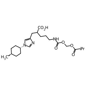 CC(C)C(=O)OCOC(=O)NCCCC(Cc1cn([C@H]2CC[C@H](C)CC2)cn1)C(=O)O